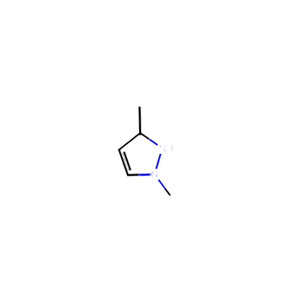 C[C]1C=CN(C)N1